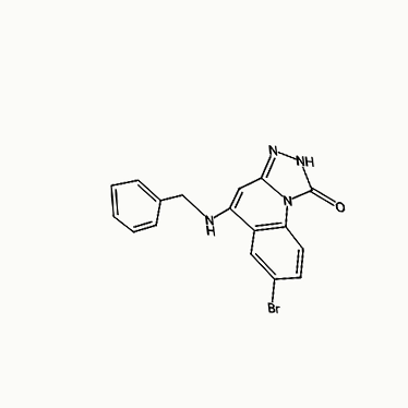 O=c1[nH]nc2cc(NCc3ccccc3)c3cc(Br)ccc3n12